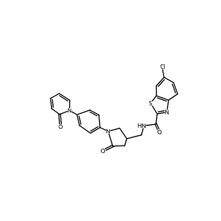 O=C(NCC1CC(=O)N(c2ccc(-n3ccccc3=O)cc2)C1)c1nc2ccc(Cl)cc2s1